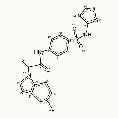 CC(C(=O)Nc1ccc(S(=O)(=O)Nc2nccs2)cc1)n1ccc2cc(F)ccc21